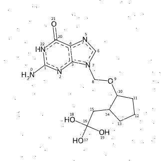 Nc1nc2c(ncn2COC2CCCC2CC(O)(O)O)c(=O)[nH]1